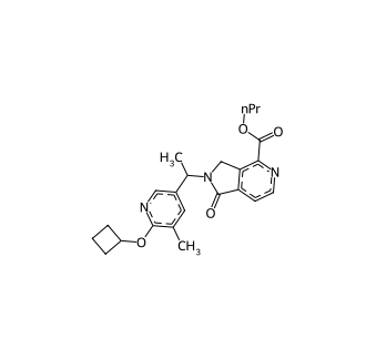 CCCOC(=O)c1nccc2c1CN(C(C)c1cnc(OC3CCC3)c(C)c1)C2=O